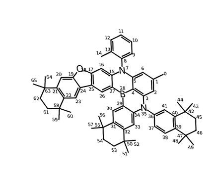 Cc1cc2c3c(c1)N(c1ccccc1C)c1cc4oc5cc6c(cc5c4cc1B3c1cc3c(cc1N2c1ccc2c(c1)C(C)(C)CCC2(C)C)C(C)(C)CCC3(C)C)C(C)(C)CCC6(C)C